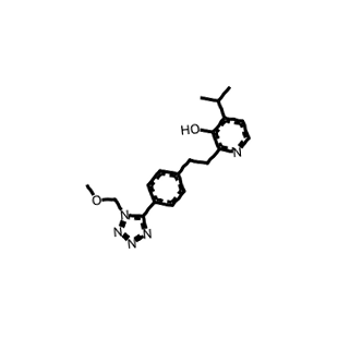 COCn1nnnc1-c1ccc(CCc2nccc(C(C)C)c2O)cc1